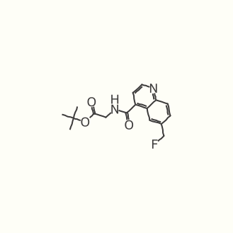 CC(C)(C)OC(=O)CNC(=O)c1ccnc2ccc(CF)cc12